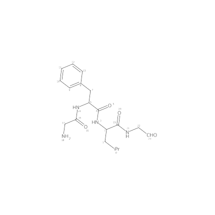 CC(C)CC(NC(=O)C(Cc1ccccc1)NC(=O)CN)C(=O)NC[C]=O